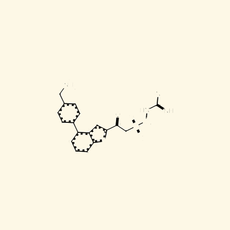 N=C(N)NOS(=O)(=O)CC(=O)c1cc2c(-c3ccc(CN)cc3)cccc2s1